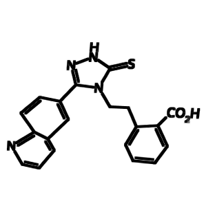 O=C(O)c1ccccc1CCn1c(-c2ccc3ncccc3c2)n[nH]c1=S